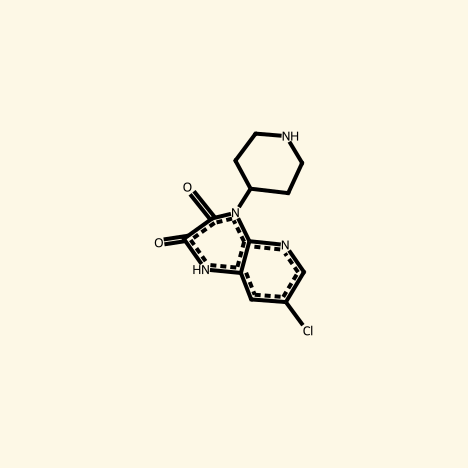 O=c1[nH]c2cc(Cl)cnc2n(C2CCNCC2)c1=O